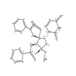 C=C=C[C@]1(OC(=O)c2ccccc2)[C@H](n2ccc(=O)[nH]c2=O)O[C@](F)(CO)[C@H]1OC(=O)c1ccccc1